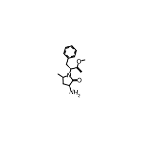 C=C(OC)[C@H](Cc1ccccc1)N1C(=O)[C@@H](N)CC1C